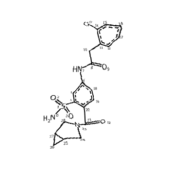 NS(=O)(=O)c1cc(NC(=O)Cc2ccccc2Cl)ccc1C(=O)N1CC2CC2C1